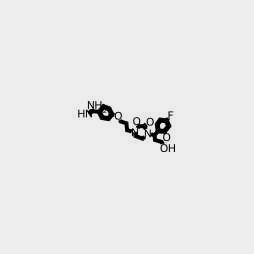 N=C(N)c1ccc(OCCCN2CCN(C(CC(=O)O)c3ccc(F)cc3)C(=O)C2=O)cc1